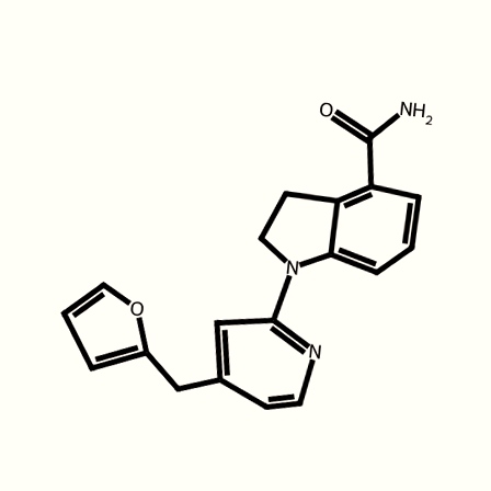 NC(=O)c1cccc2c1CCN2c1cc(Cc2ccco2)ccn1